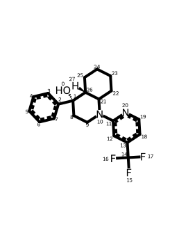 O[C@@]1(c2ccccc2)CCN(c2cc(C(F)(F)F)ccn2)C2CCCC[C@H]21